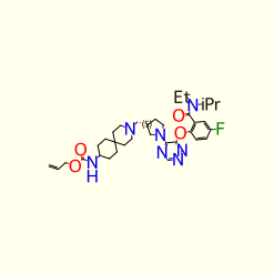 C=CCOC(=O)NC1CCC2(CC1)CCN(C[C@@H]1CCN(c3ncnnc3Oc3ccc(F)cc3C(=O)N(CC)C(C)C)C1)CC2